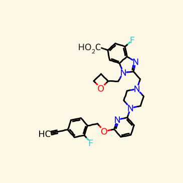 C#Cc1ccc(COc2cccc(N3CCN(Cc4nc5c(F)cc(C(=O)O)cc5n4CC4CCO4)CC3)n2)c(F)c1